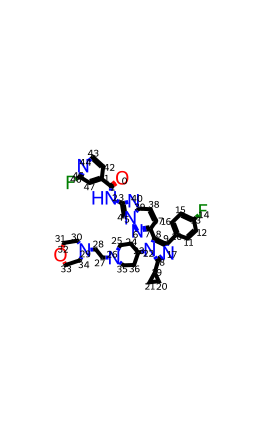 O=C(Nc1cn2nc(-c3c(-c4ccc(F)cc4)nc(C4CC4)n3C3CCN(CCN4CCOCC4)CC3)ccc2n1)c1ccnc(F)c1